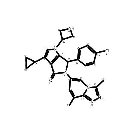 Cc1cc(N2C(=O)c3c(C4CC4)cn(C4CNC4)c3C2c2ccc(Cl)cc2)cn2c(C)nnc12